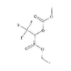 CCO[PH](=O)C(OC(=O)OC)C(F)(F)F